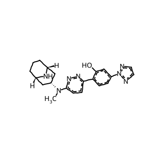 CN(c1ccc(-c2ccc(-n3nccn3)cc2O)nn1)[C@H]1C[C@H]2CCC[C@@H](C1)N2